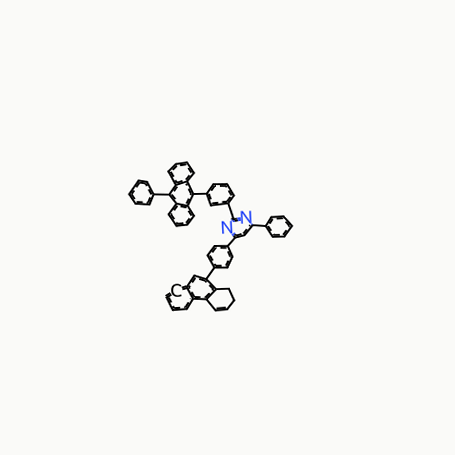 C1=Cc2c(c(-c3ccc(-c4cc(-c5ccccc5)nc(-c5cccc(-c6c7ccccc7c(-c7ccccc7)c7ccccc67)c5)n4)cc3)cc3ccccc23)CC1